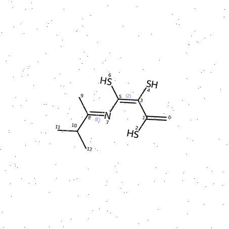 C=C(S)/C(S)=C(S)\N=C(/C)C(C)C